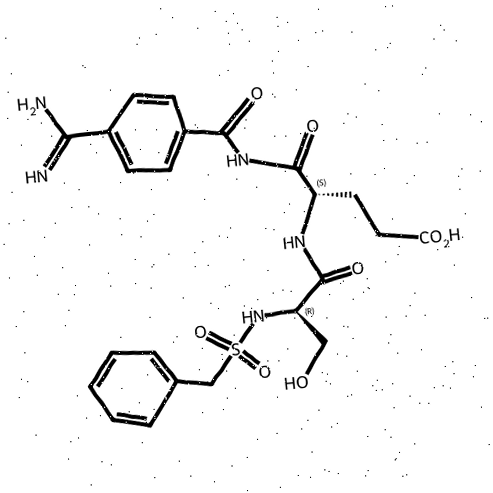 N=C(N)c1ccc(C(=O)NC(=O)[C@H](CCC(=O)O)NC(=O)[C@@H](CO)NS(=O)(=O)Cc2ccccc2)cc1